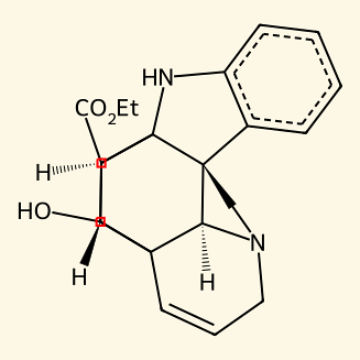 CCOC(=O)[C@@H]1[C@@H](O)C23C=CCN4CC[C@@]5(c6ccccc6NC15CC2)[C@@H]43